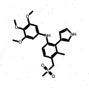 COc1cc(Nc2ccc(CS(C)(=O)=O)c(C)c2-c2cc[nH]c2)cc(OC)c1OC